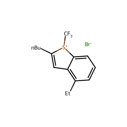 CCCCc1cc2c(CC)cccc2[s+]1C(F)(F)F.[Br-]